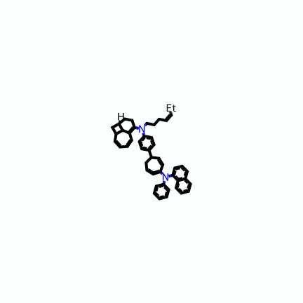 CC/C=C\CCCN(C1=C2C=CC=CC3C[C@H](CC1)C23)c1ccc(C2C=CC(N(c3ccccc3)c3cccc4ccccc34)=C=CC2)cc1